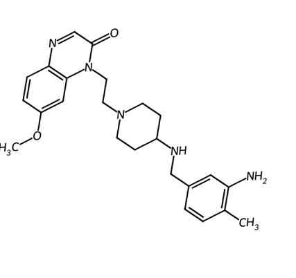 COc1ccc2ncc(=O)n(CCN3CCC(NCc4ccc(C)c(N)c4)CC3)c2c1